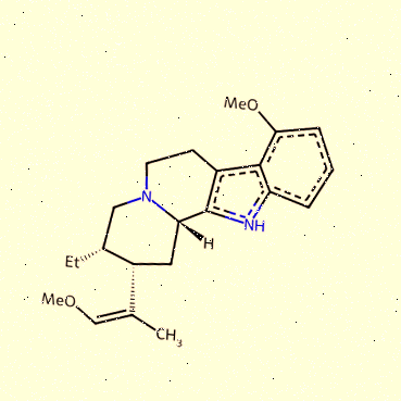 CC[C@@H]1CN2CCc3c([nH]c4cccc(OC)c34)[C@@H]2C[C@@H]1/C(C)=C\OC